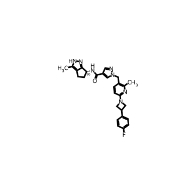 Cc1nc(N2CC(c3ccc(F)cc3)C2)ccc1Cn1cc(C(=O)N[C@@H]2CCc3c2n[nH]c3C)cn1